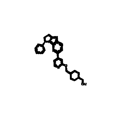 OCC1CCC(COc2cc(-c3ccc4nc5n(c4n3)[C@@H](c3ccccc3)CC5)ccn2)CC1